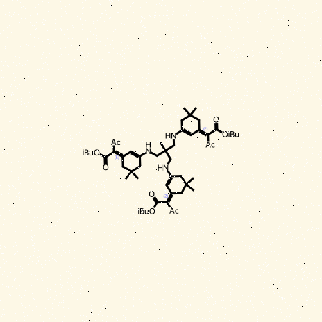 CC(=O)/C(C(=O)OCC(C)C)=C1/C=C(NCC(C)(CNC2=C/C(=C(\C(C)=O)C(=O)OCC(C)C)CC(C)(C)C2)CNC2=C/C(=C(\C(C)=O)C(=O)OCC(C)C)CC(C)(C)C2)CC(C)(C)C1